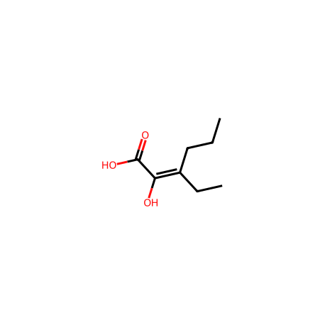 CCC/C(CC)=C(/O)C(=O)O